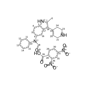 Cc1[nH]c2ccc(N(C=O)c3ccccc3)cc2c1C1=CCNCC1.O=C(O)c1ccc([N+](=O)[O-])cc1[N+](=O)[O-]